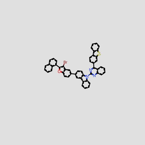 Brc1c(-c2cccc3ccccc23)oc2ccc(-c3ccc4c(c3)c3ccccc3n4-c3nc(-c4ccc5c(c4)sc4ccccc45)c4ccccc4n3)cc12